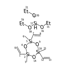 C=C[Si]1(C)O[Si](C)(C=C)O[Si](C)(C=C)O1.CCO[SiH](OCC)OCC